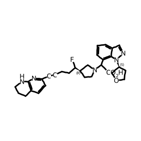 O=C(O)C(c1cccc2cnn([C@H]3CCOC3)c12)N1CC[C@@H](C(F)CCCCc2ccc3c(n2)NCCC3)C1